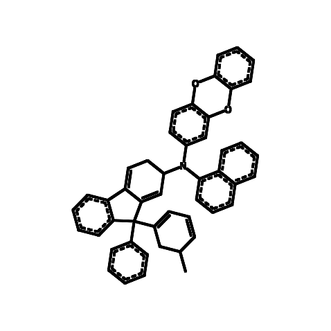 CC1C=CC=C(C2(c3ccccc3)C3=CC(N(c4ccc5c(c4)Oc4ccccc4O5)c4cccc5ccccc45)CC=C3c3ccccc32)C1